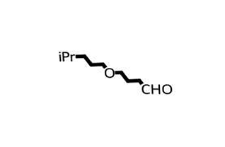 CC(C)CCCOCCCC=O